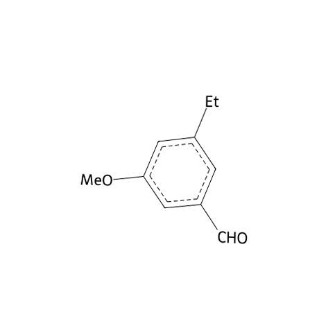 CCc1cc(C=O)cc(OC)c1